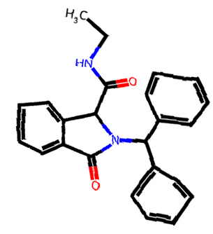 CCNC(=O)C1c2ccccc2C(=O)N1C(c1ccccc1)c1ccccc1